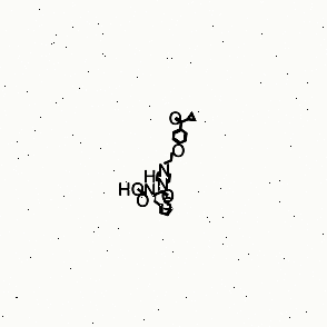 O=C(O)N[C@H](Cc1cccs1)C(=O)N1CCN(CCCOc2ccc(C(=O)C3CC3)cc2)CC1